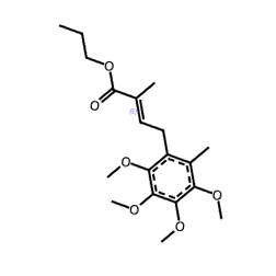 CCCOC(=O)/C(C)=C/Cc1c(C)c(OC)c(OC)c(OC)c1OC